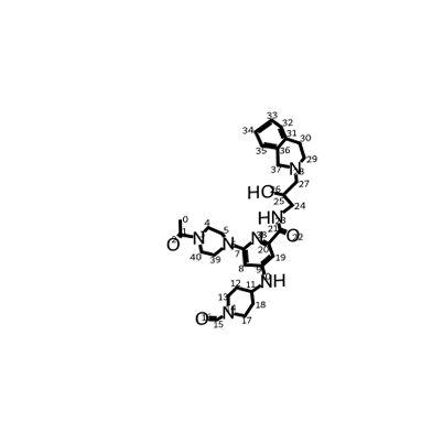 CC(=O)N1CCN(c2cc(NC3CCN(C=O)CC3)cc(C(=O)NCC(O)CN3CCc4ccccc4C3)n2)CC1